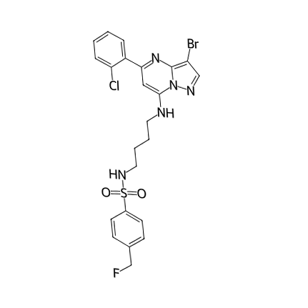 O=S(=O)(NCCCCNc1cc(-c2ccccc2Cl)nc2c(Br)cnn12)c1ccc(CF)cc1